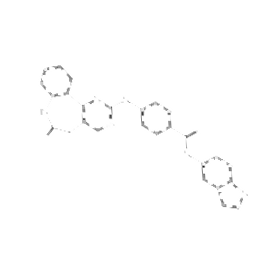 O=C1Cc2cnc(Nc3ccc(C(=O)Nc4ccc5[nH]ccc5c4)cc3)nc2-c2ccccc2N1